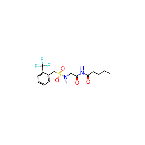 CCCCC(=O)NC(=O)CN(C)S(=O)(=O)Cc1ccccc1C(F)(F)F